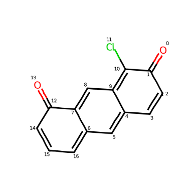 O=C1[C]=Cc2cc3c(cc2=C1Cl)C(=O)C=CC=3